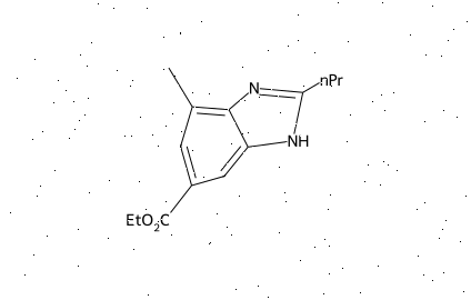 CCCc1nc2c(C)cc(C(=O)OCC)cc2[nH]1